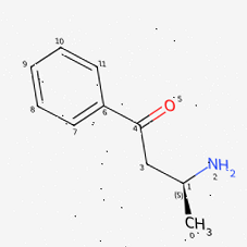 C[C@H](N)CC(=O)c1ccccc1